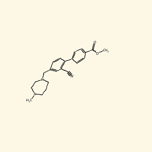 COC(=O)c1ccc(-c2ccc(CN3CCCN(C)CC3)cc2C#N)cc1